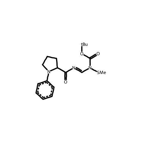 CSN(C=NC(=O)C1CCCN1c1ccccc1)C(=O)OC(C)(C)C